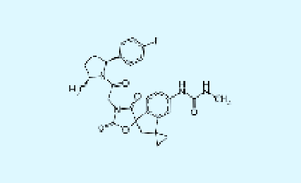 CNC(=O)Nc1ccc2c(c1)C1(CC1)CC21OC(=O)N(CC(=O)N2[C@@H](C)CC[C@H]2c2ccc(F)cc2)C1=O